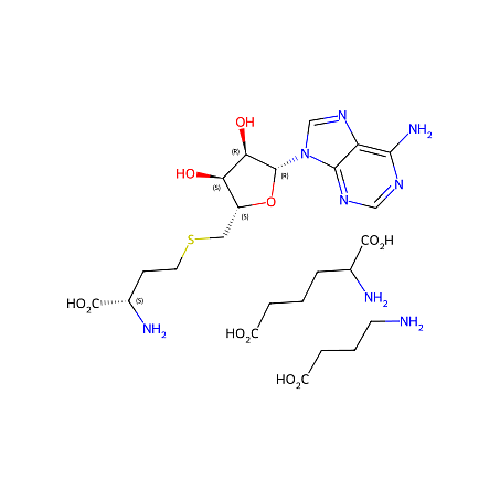 NC(CCCC(=O)O)C(=O)O.NCCCC(=O)O.Nc1ncnc2c1ncn2[C@@H]1O[C@H](CSCC[C@H](N)C(=O)O)[C@@H](O)[C@H]1O